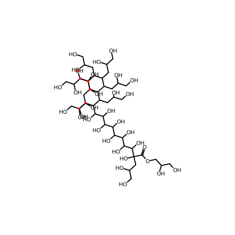 O=C(OCC(O)CO)C(O)(CC(O)CO)C(O)C(O)C(O)C(O)C(O)C(O)C(O)C(O)C(CC(O)CO)C(CC(O)CO)C(CC(O)CO)C(CC(O)CO)C(CC(O)CO)C(CC(O)CO)C(CC(O)CO)C(O)CC(O)CO